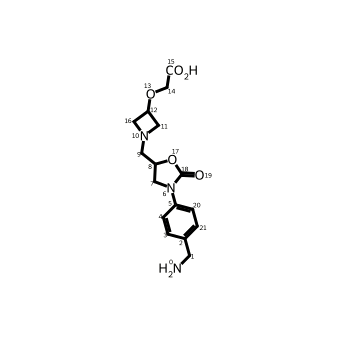 NCc1ccc(N2CC(CN3CC(OCC(=O)O)C3)OC2=O)cc1